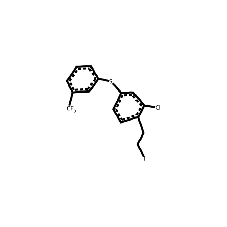 FC(F)(F)c1cccc(Sc2ccc(CCI)c(Cl)c2)c1